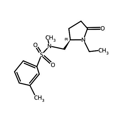 CCN1C(=O)CC[C@@H]1CN(C)S(=O)(=O)c1cccc(C)c1